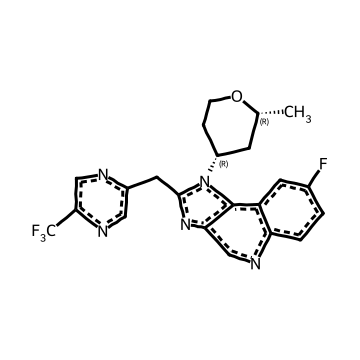 C[C@@H]1C[C@H](n2c(Cc3cnc(C(F)(F)F)cn3)nc3cnc4ccc(F)cc4c32)CCO1